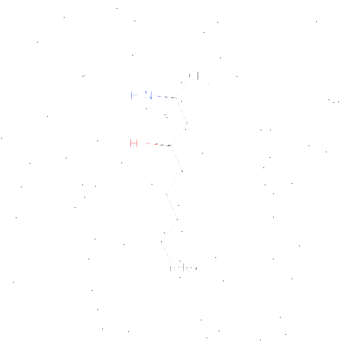 [CH2]C(N)CC(O)CCCCCCCCCC